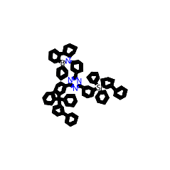 c1ccc(B2c3ccccc3-c3ccccc3N2c2cccc(-c3nc(-c4cccc(C(c5ccccc5)(c5ccccc5)c5cccc(-c6ccccc6)c5)c4)nc(-c4cccc([Si](c5ccccc5)(c5ccccc5)c5cccc(-c6ccccc6)c5)c4)n3)c2)cc1